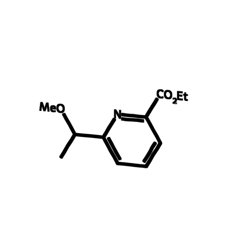 CCOC(=O)c1cccc(C(C)OC)n1